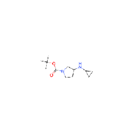 CC(C)(C)OC(=O)N1CCC(NC2CC2)C1